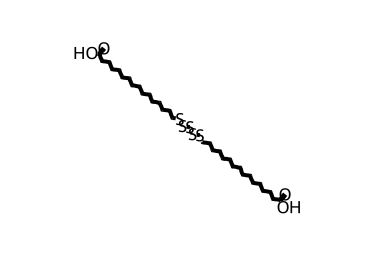 O=C(O)CCCCCCCCCCCCCCCSSSSSCCCCCCCCCCCCCCCC(=O)O